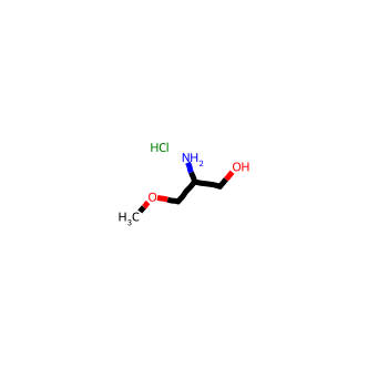 COCC(N)CO.Cl